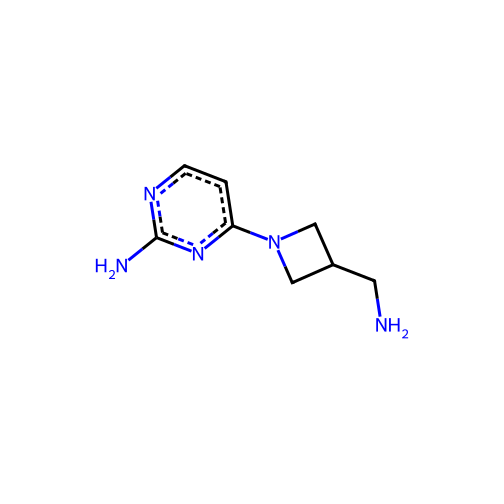 NCC1CN(c2ccnc(N)n2)C1